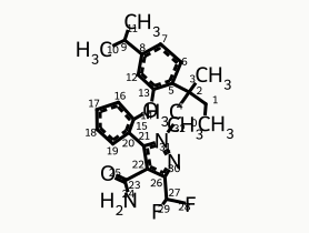 CCC(C)(C)c1ccc(C(C)C)cc1Oc1ccccc1-c1c(C(N)=O)c(C(F)F)nn1C